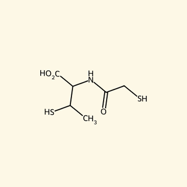 CC(S)C(NC(=O)CS)C(=O)O